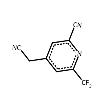 N#CCc1cc(C#N)nc(C(F)(F)F)c1